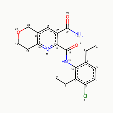 CCc1ccc(Cl)c(CC)c1NC(=O)c1nc2c(cc1C(N)=O)COCC2